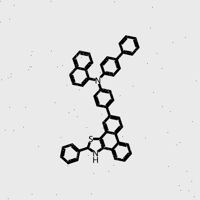 c1ccc(-c2ccc(N(c3ccc(-c4ccc5c(c4)c4c(c6ccccc65)NC(c5ccccc5)S4)cc3)c3cccc4ccccc34)cc2)cc1